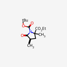 C=C1CC(C)(C(=O)OCC)N(C(=O)OC(C)(C)C)C1=O